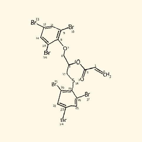 C=CC(=O)OC(COc1c(Br)cc(Br)cc1Br)CSc1c(Br)cc(Br)cc1Br